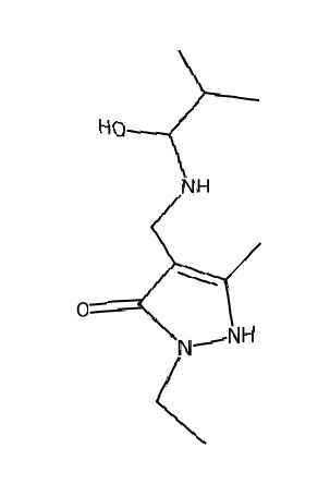 CCn1[nH]c(C)c(CNC(O)C(C)C)c1=O